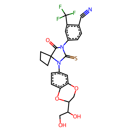 N#Cc1ccc(N2C(=O)C3(CCC3)N(c3ccc4c(c3)OCC(C(O)CO)O4)C2=S)cc1C(F)(F)F